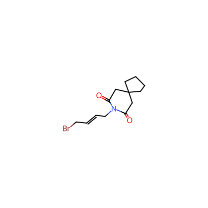 O=C1CC2(CCCC2)CC(=O)N1C/C=C/CBr